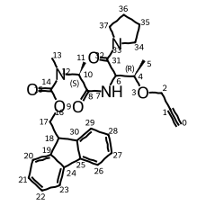 C#CCO[C@H](C)C(NC(=O)[C@H](C)N(C)C(=O)OCC1c2ccccc2-c2ccccc21)C(=O)N1CCCC1